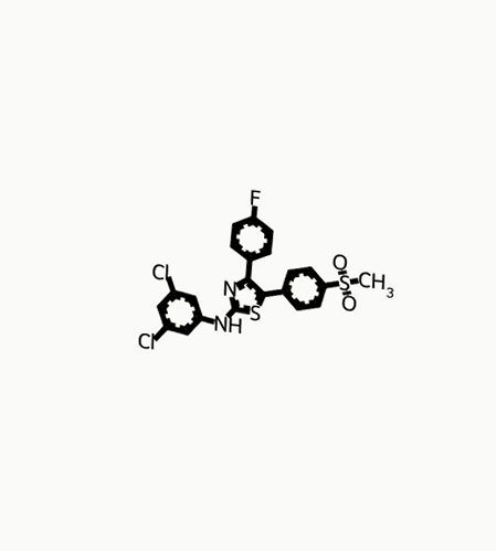 CS(=O)(=O)c1ccc(-c2sc(Nc3cc(Cl)cc(Cl)c3)nc2-c2ccc(F)cc2)cc1